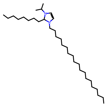 CCCCCCCCCCCCCCCCCCCN1C=CN(C(C)C)C1CCCCCCCC